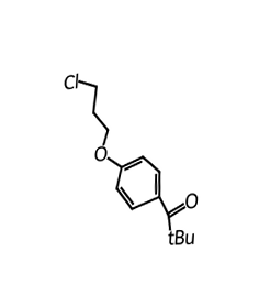 CC(C)(C)C(=O)c1ccc(OCCCCl)cc1